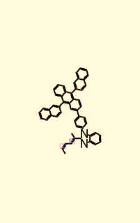 C/C=C\C=C(/C)c1nc2ccccc2n1-c1ccc(-c2ccc3c(-c4ccc5ccccc5c4)c4ccccc4c(-c4ccc5ccccc5c4)c3c2)cc1